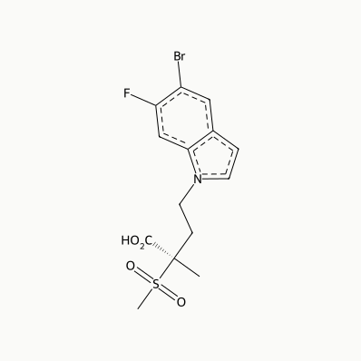 C[C@@](CCn1ccc2cc(Br)c(F)cc21)(C(=O)O)S(C)(=O)=O